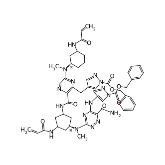 C=CC(=O)NC1CCC[C@@H](N(C)c2cnc(C(=O)NC3CC(NC(=O)C=C)C[C@H](N(C)c4nnc(C(N)=O)c(Nc5cnn(C(=O)OCc6ccccc6)c5)n4)C3)c(Cc3cnn(C(=O)OCc4ccccc4)c3)n2)C1